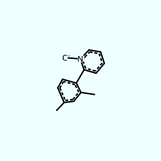 [CH2-][n+]1ccccc1-c1ccc(C)cc1C